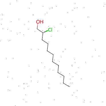 CCCCCCCCCC[C@H](Cl)CO